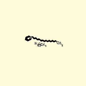 CC.CCCCCCCCCCCCCCCC[n+]1ccccc1.[Cl-]